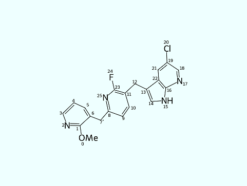 COc1ncccc1[CH]c1ccc(Cc2c[nH]c3ncc(Cl)cc23)c(F)n1